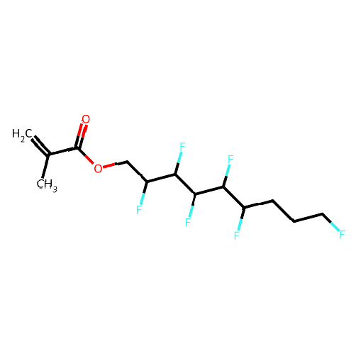 C=C(C)C(=O)OCC(F)C(F)C(F)C(F)C(F)CCCF